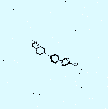 CC[C@H]1CC[C@H](c2ccc(-c3ccc(Cl)nc3)cc2)CC1